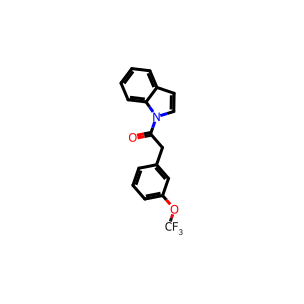 O=C(Cc1cccc(OC(F)(F)F)c1)n1ccc2ccccc21